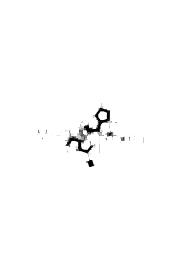 C#C[C@@H]1CN(C(=O)[C@@H](NC(=O)OC(C)(C)C)C2CCCC2)C2(I)C1OCC2(OC)OC